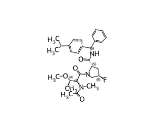 CO[C@H](C)[C@@H](C(=O)N1C[C@H](F)C[C@H]1C(=O)N[C@@H](c1ccccc1)c1ccc(C(C)C)cc1)N(C)C(C)=O